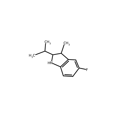 CC(C)C1Nc2ccc(F)cc2C1C